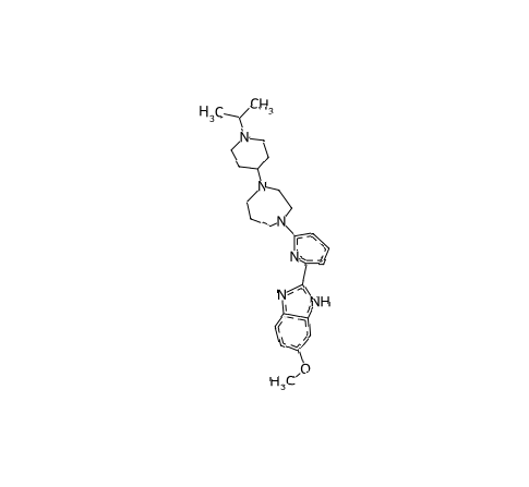 COc1ccc2nc(-c3cccc(N4CCCN(C5CCN(C(C)C)CC5)CC4)n3)[nH]c2c1